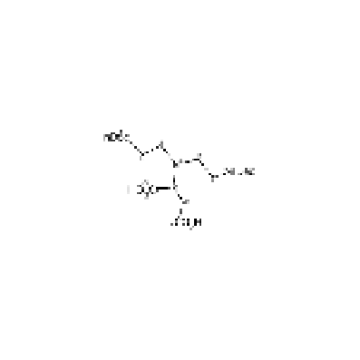 CCCCCCCCCCCCN(CCCCCCCCCCCC)[C@@H](CC(=O)O)C(=O)O